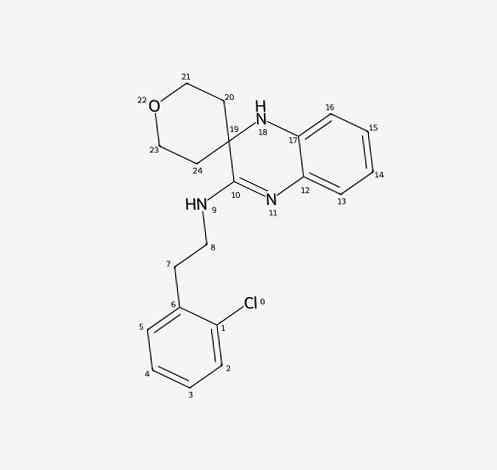 Clc1ccccc1CCNC1=Nc2ccccc2NC12CCOCC2